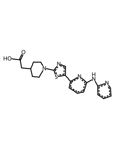 O=C(O)CC1CCN(c2ncc(-c3cccc(Nc4ccccn4)n3)s2)CC1